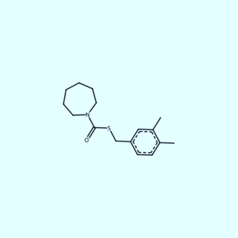 Cc1ccc(CSC(=O)N2CCCCCC2)cc1C